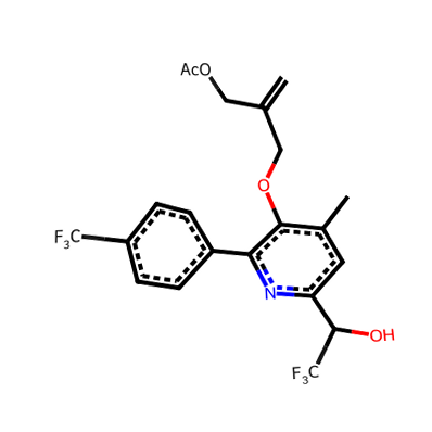 C=C(COC(C)=O)COc1c(C)cc(C(O)C(F)(F)F)nc1-c1ccc(C(F)(F)F)cc1